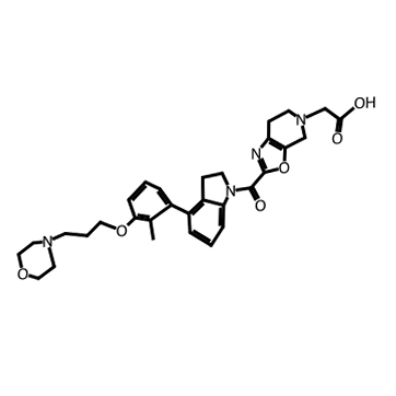 Cc1c(OCCCN2CCOCC2)cccc1-c1cccc2c1CCN2C(=O)c1nc2c(o1)CN(CC(=O)O)CC2